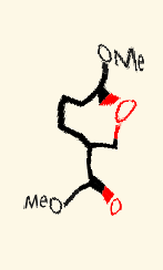 COC(=O)C1CCC(OC)OC1